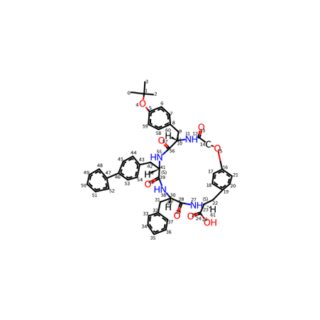 CC(C)(C)Oc1ccc(C[C@@H]2NC(=O)COc3ccc(cc3)C[C@@H](C(=O)O)NC(=O)[C@H](Cc3ccccc3)NC(=O)[C@H](Cc3ccc(-c4ccccc4)cc3)NC2=O)cc1